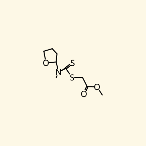 COC(=O)CSC(=S)N(C)C1CCCO1